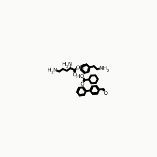 NCCC[C@H](N)C(=O)O.NCCc1ccccc1.O=C(O)C1CCCCC1.O=Cc1ccc(-c2ccccc2)cc1